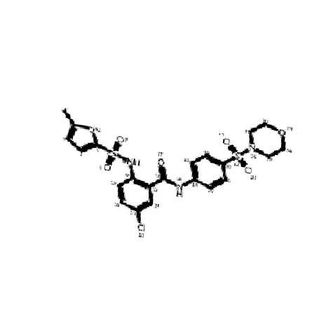 Cc1ccc(S(=O)(=O)Nc2ccc(Cl)cc2C(=O)Nc2ccc(S(=O)(=O)N3CCOCC3)cc2)s1